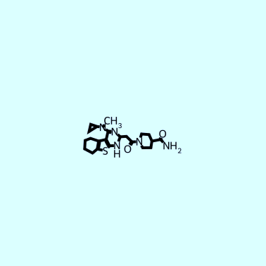 CN(C1=NC(CC(=O)N2CCC(C(N)=O)CC2)Nc2sc3c(c21)CCCC3)C1CC1